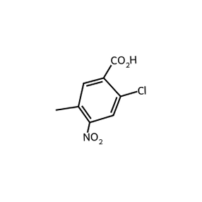 Cc1cc(C(=O)O)c(Cl)cc1[N+](=O)[O-]